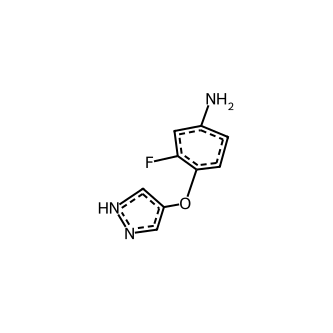 Nc1ccc(Oc2cn[nH]c2)c(F)c1